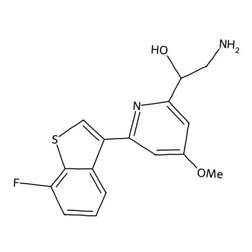 COc1cc(-c2csc3c(F)cccc23)nc(C(O)CN)c1